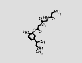 CNCC(O)c1ccc(O)c(OC(=O)CNC(=O)CNC(=O)CN)c1